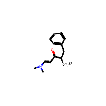 CCOC(=O)C(Cc1ccccc1)C(=O)C=CN(C)C